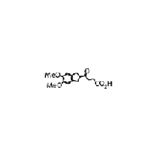 COc1cc2c(cc1OC)CC(C(=O)CCC(=O)O)C2